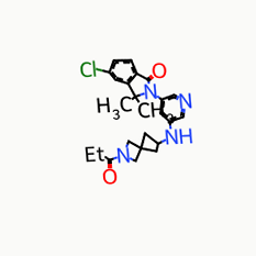 CCC(=O)N1CC2(CC(Nc3cncc(N4C(=O)c5ccc(Cl)cc5C4(C)C)c3)C2)C1